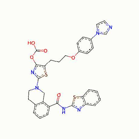 O=C(O)Oc1nc(N2CCc3cccc(C(=O)Nc4nc5ccccc5s4)c3C2)sc1CCCOc1ccc(-n2ccnc2)cc1